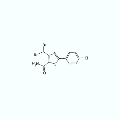 NC(=O)c1sc(-c2ccc(Cl)cc2)nc1C(Br)Br